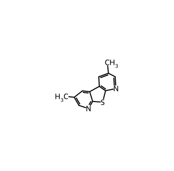 Cc1cnc2sc3ncc(C)cc3c2c1